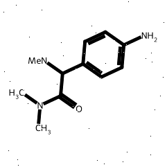 CNC(C(=O)N(C)C)c1ccc(N)cc1